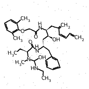 C=C/C=C\C(=C)C[C@H](NC(=O)COc1c(C)cccc1C)[C@@H](O)C[C@H](Cc1ccccc1)NC(=O)[C@H](CC)N(C)C(O)NCC